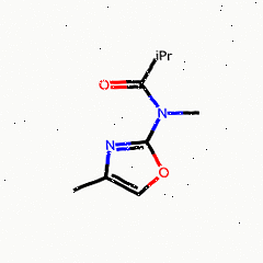 Cc1coc(N(C)C(=O)C(C)C)n1